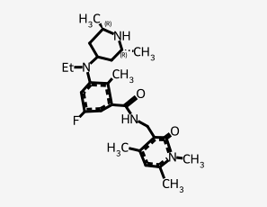 CCN(c1cc(F)cc(C(=O)NCc2c(C)cc(C)n(C)c2=O)c1C)C1C[C@@H](C)N[C@H](C)C1